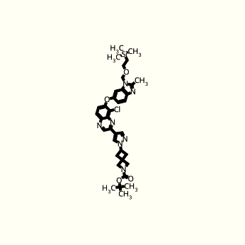 Cc1nc2ccc(Oc3ccc4ncc(-c5cnn(C6CC7(C6)CN(C(=O)OC(C)(C)C)C7)c5)nc4c3Cl)cc2n1COCC[Si](C)(C)C